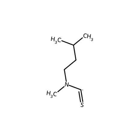 CC(C)CCN(C)[C]=S